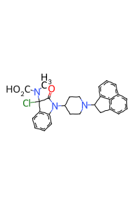 CN(C(=O)O)C1(Cl)C(=O)N(C2CCN(C3Cc4cccc5cccc3c45)CC2)c2ccccc21